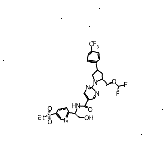 CCS(=O)(=O)c1ccc([C@H](CO)NC(=O)c2cnc(N3CC(c4ccc(C(F)(F)F)cc4)C[C@H]3COC(F)F)nc2)nc1